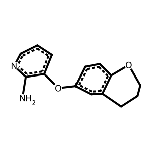 Nc1ncccc1Oc1ccc2c(c1)CCCO2